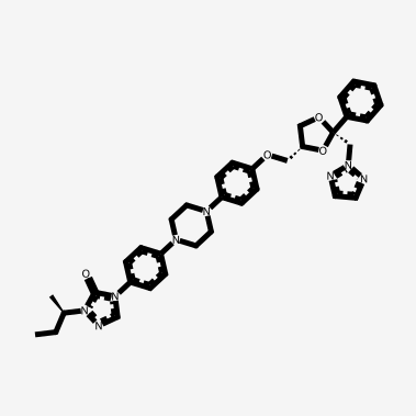 CC[C@@H](C)n1ncn(-c2ccc(N3CCN(c4ccc(OC[C@@H]5CO[C@@](Cn6nccn6)(c6ccccc6)O5)cc4)CC3)cc2)c1=O